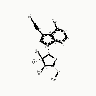 CCC#Cc1cn([C@@H]2O[C@H](CO)[C@@H](O)[C@@]2(C)O)c2ncnc(N)c12